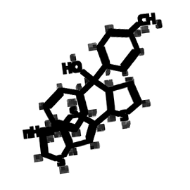 CCCCCCc1ccc(C(O)(c2ccc(C)cc2)c2ccsc2-c2cc3sccc3s2)cc1